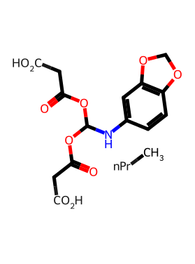 CCCC.O=C(O)CC(=O)OC(Nc1ccc2c(c1)OCO2)OC(=O)CC(=O)O